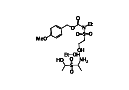 CC(N)S(=O)(=O)C(C)O.CCN(C(=O)OCc1ccc(OC)cc1)S(=O)(=O)CCO.CCO